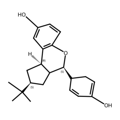 CC(C)(C)[C@@H]1CC2[C@H](C3C=CC(O)=CC3)Oc3ccc(O)cc3[C@@H]2C1